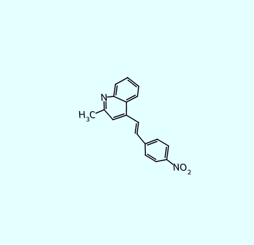 Cc1cc(C=Cc2ccc([N+](=O)[O-])cc2)c2ccccc2n1